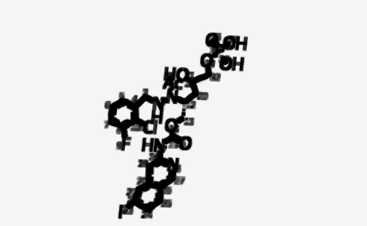 CC(=O)N(NCc1cccc(F)c1Cl)[C@@H](COC(=O)Nc1cc2cc(F)ccc2cn1)C[C@@H](O)COP(=O)(O)O